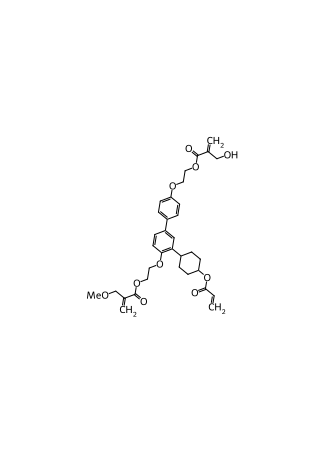 C=CC(=O)OC1CCC(c2cc(-c3ccc(OCCOC(=O)C(=C)CO)cc3)ccc2OCCOC(=O)C(=C)COC)CC1